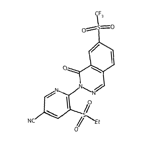 CCS(=O)(=O)c1cc(C#N)cnc1-n1ncc2ccc(S(=O)(=O)C(F)(F)F)cc2c1=O